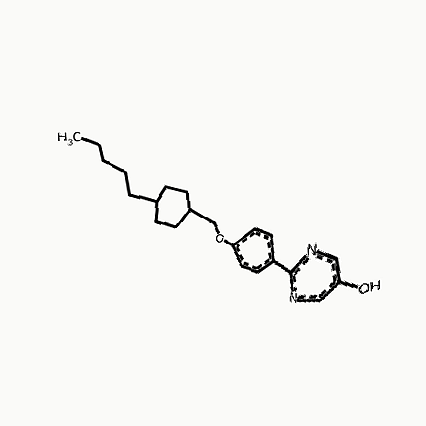 CCCCCC1CCC(COc2ccc(-c3ncc(O)cn3)cc2)CC1